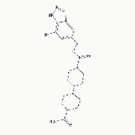 NC(=O)N1CCC(C2CCN(C(=O)[CH]Cc3cc(Br)c4[nH]ncc4c3)CC2)CC1